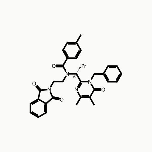 Cc1ccc(C(=O)N(CCN2C(=O)c3ccccc3C2=O)[C@@H](c2nc(C)c(C)c(=O)n2Cc2ccccc2)C(C)C)cc1